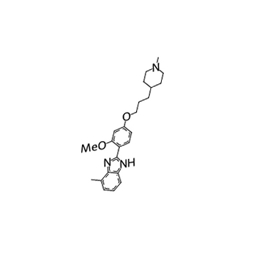 COc1cc(OCCCC2CCN(C)CC2)ccc1-c1nc2c(C)cccc2[nH]1